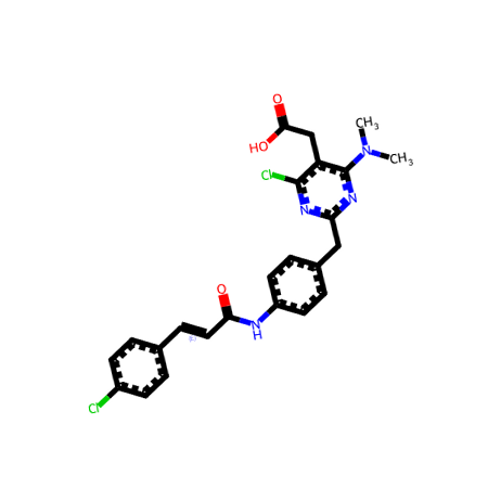 CN(C)c1nc(Cc2ccc(NC(=O)/C=C/c3ccc(Cl)cc3)cc2)nc(Cl)c1CC(=O)O